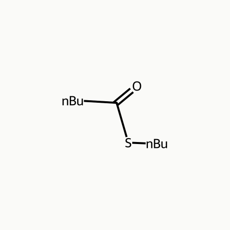 CCCCSC(=O)CCCC